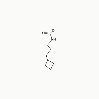 [O]C(=O)NCCCC1CCC1